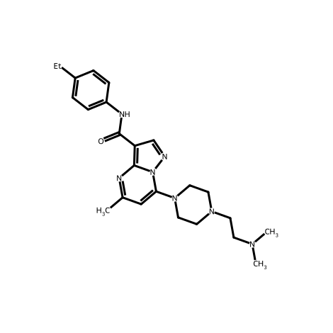 CCc1ccc(NC(=O)c2cnn3c(N4CCN(CCN(C)C)CC4)cc(C)nc23)cc1